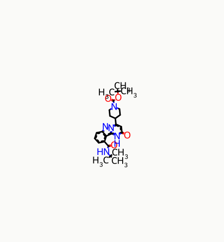 CC(C)(C)NC(=O)c1cccc2nn3c(C4CCN(C(=O)OC(C)(C)C)CC4)cc(=O)[nH]c3c12